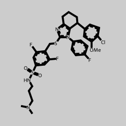 COc1cc(C2CCCc3nc(SCc4c(F)cc(S(=O)(=O)NCCCN(C)C)cc4F)n(-c4ccc(F)cc4)c32)ccc1Cl